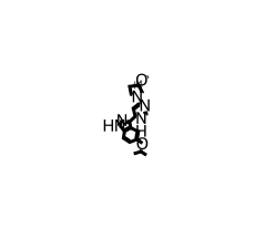 CO[C@H]1CCN(C2=CC(c3n[nH]c4ccc(OC(C)C)cc34)NC=N2)C1